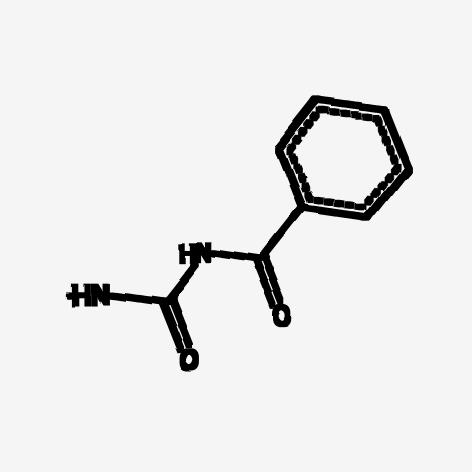 [NH]C(=O)NC(=O)c1ccccc1